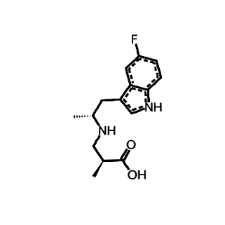 C[C@H](Cc1c[nH]c2ccc(F)cc12)NC[C@H](C)C(=O)O